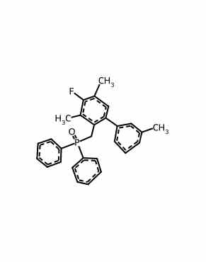 Cc1cccc(-c2cc(C)c(F)c(C)c2CP(=O)(c2ccccc2)c2ccccc2)c1